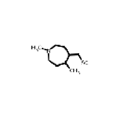 CC(=O)CC1CCN(C)CCC1C